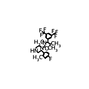 Cc1cc(F)ccc1C1CNCCN1C(=O)N(C)C(c1cc(C(F)(F)F)cc(C(F)(F)F)c1)C(C)C